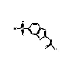 NC(=O)Cc1nc2ccc(S(=O)(=O)O)cc2s1